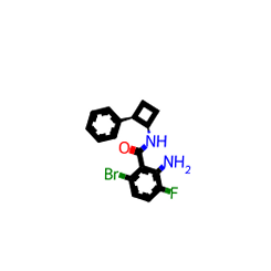 Nc1c(F)ccc(Br)c1C(=O)N[C@H]1CC[C@@H]1c1ccccc1